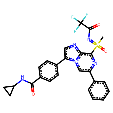 CS(=O)(=NC(=O)C(F)(F)F)c1nc(-c2ccccc2)cn2c(-c3ccc(C(=O)NC4CC4)cc3)cnc12